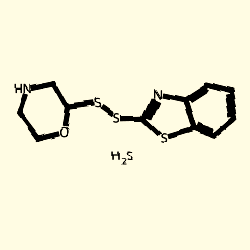 S.c1ccc2sc(SSC3CNCCO3)nc2c1